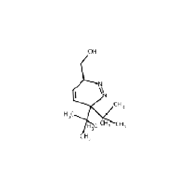 CC(C)(C)C1(C(C)(C)C)C=CC(CO)N=N1